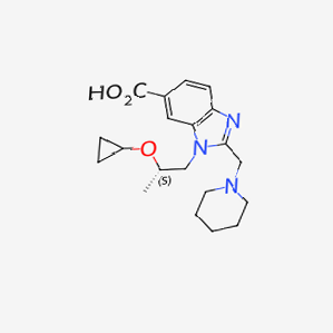 C[C@@H](Cn1c(CN2CCCCC2)nc2ccc(C(=O)O)cc21)OC1CC1